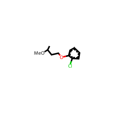 COC(C)CCOc1c[c]ccc1Cl